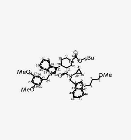 COCCCn1cc(CN(C(=O)[C@H]2CN(C(=O)OC(C)(C)C)CC[C@@H]2c2cn(Cc3cc(OC)cc(OC)c3)c3ccccc23)C2CC2)c2ccccc21